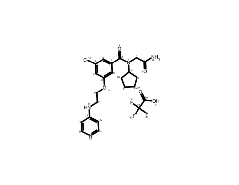 NC(=O)CN(C(=O)c1cc(Cl)cc(OCCNc2ccncc2)c1)C1CCCC1.O=C(O)C(F)(F)F